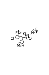 O=C1S/C(=C(/Cc2ccc(Cl)cc2C(F)(F)F)c2ccc3[nH]ncc3c2)C(=O)N1CCN1CCC(F)(F)C1